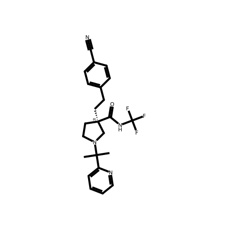 CC(C)(c1ccccn1)N1CC[C@@](CCc2ccc(C#N)cc2)(C(=O)NC(F)(F)F)C1